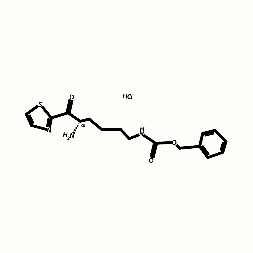 Cl.N[C@@H](CCCCNC(=O)OCc1ccccc1)C(=O)c1nccs1